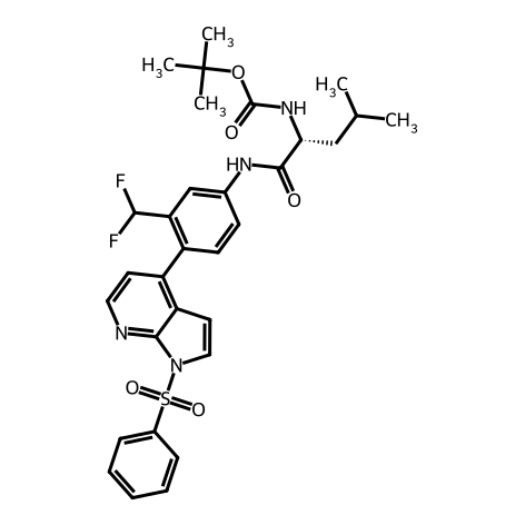 CC(C)C[C@@H](NC(=O)OC(C)(C)C)C(=O)Nc1ccc(-c2ccnc3c2ccn3S(=O)(=O)c2ccccc2)c(C(F)F)c1